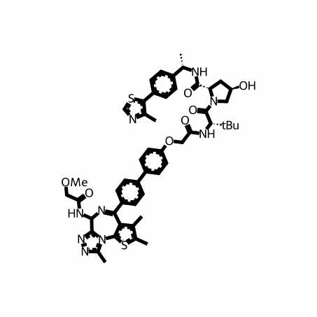 COCC(=O)NC1N=C(c2ccc(-c3ccc(OCC(=O)N[C@H](C(=O)N4C[C@H](O)C[C@H]4C(=O)N[C@@H](C)c4ccc(-c5scnc5C)cc4)C(C)(C)C)cc3)cc2)c2c(sc(C)c2C)-n2c(C)nnc21